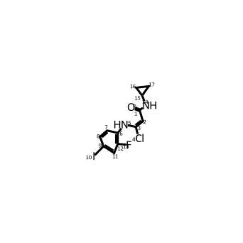 O=C(/C=C(/Cl)Nc1ccc(I)cc1F)NC1CC1